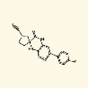 N#CN1CCC2(C1)Nc1ncc(-c3ccc(F)cc3)cc1NC2=O